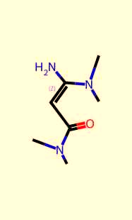 CN(C)C(=O)/C=C(/N)N(C)C